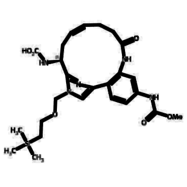 COC(=O)Nc1ccc2c(c1)NC(=O)CCC=CC[C@H](NC(=O)O)c1nc-2cn1COCC[Si](C)(C)C